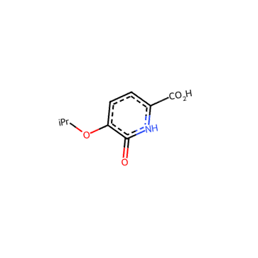 CC(C)Oc1ccc(C(=O)O)[nH]c1=O